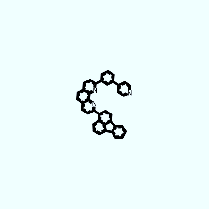 c1cc(-c2ccncc2)cc(-c2ccc3ccc4ccc(-c5ccc6c7c(cccc57)-c5ccccc5-6)nc4c3n2)c1